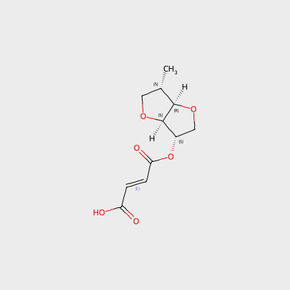 C[C@H]1CO[C@H]2[C@@H]1OC[C@@H]2OC(=O)/C=C/C(=O)O